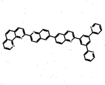 c1ccc(-c2cc(-c3ccccn3)cc(-c3ccc4cc(-c5ccc6nc(-c7ccc8ccc9cccnc9c8n7)ccc6c5)ccc4n3)c2)nc1